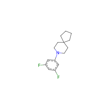 Fc1cc(F)cc(N2CCC3(CCCC3)CC2)c1